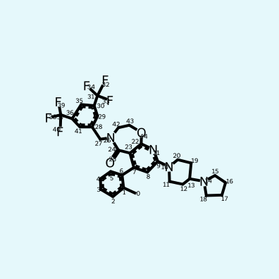 Cc1ccccc1-c1cc(N2CCC(N3CCCC3)CC2)nc2c1C(=O)N(Cc1cc(C(F)(F)F)cc(C(F)(F)F)c1)CCO2